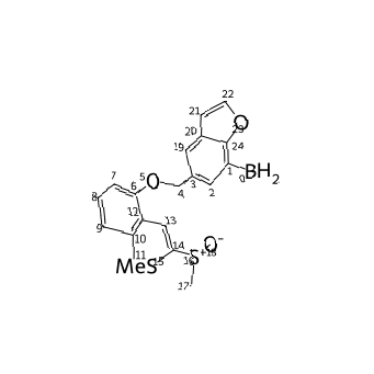 Bc1cc(COc2cccc(C)c2/C=C(\SC)[S+](C)[O-])cc2ccoc12